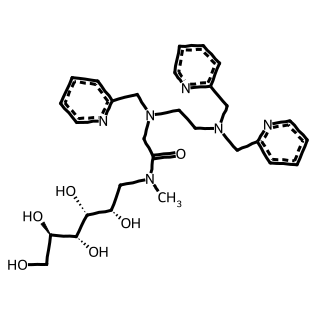 CN(C[C@H](O)[C@@H](O)[C@H](O)[C@H](O)CO)C(=O)CN(CCN(Cc1ccccn1)Cc1ccccn1)Cc1ccccn1